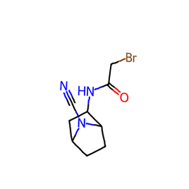 N#CN1C2CCC1C(NC(=O)CBr)C2